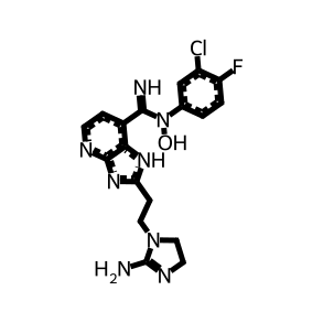 N=C(c1ccnc2nc(CCN3CCN=C3N)[nH]c12)N(O)c1ccc(F)c(Cl)c1